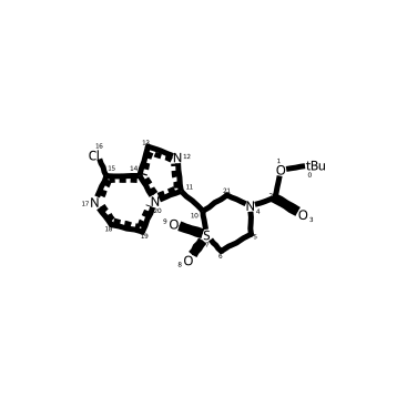 CC(C)(C)OC(=O)N1CCS(=O)(=O)C(c2ncc3c(Cl)nccn23)C1